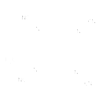 C=C1CN(C#N)CCN(C#N)CCN(C#N)CCN1C#N